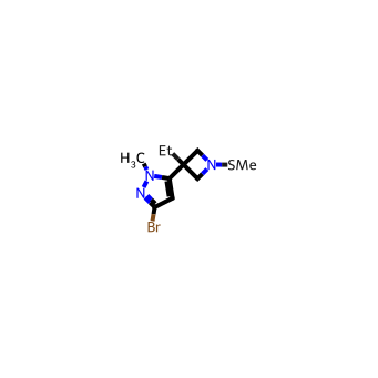 CCC1(c2cc(Br)nn2C)CN(SC)C1